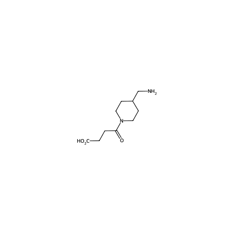 NCC1CCN(C(=O)CCC(=O)O)CC1